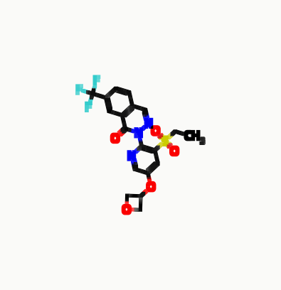 CCS(=O)(=O)c1cc(OC2COC2)cnc1-n1ncc2ccc(C(F)(F)F)cc2c1=O